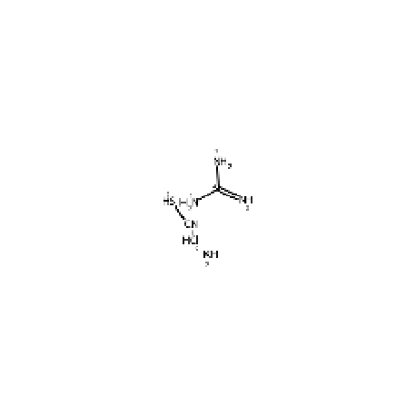 Cl.N#CS.N=C(N)N.[KH]